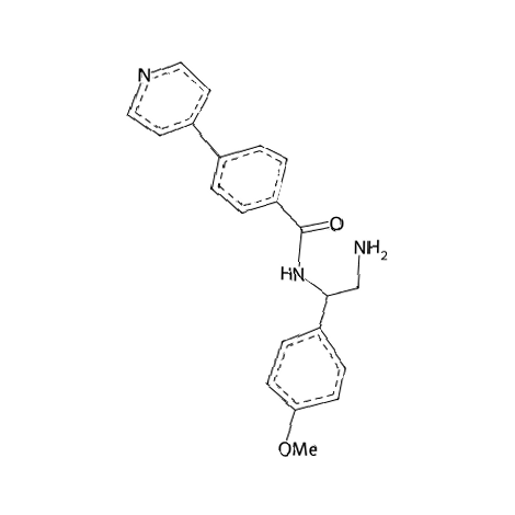 COc1ccc(C(CN)NC(=O)c2ccc(-c3ccncc3)cc2)cc1